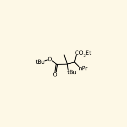 CCCC(C(=O)OCC)C(C)(C(=O)OC(C)(C)C)C(C)(C)C